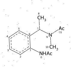 CC(=O)Nc1ccccc1C(C)N(C)C(C)=O